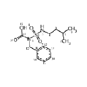 CC(C)CCNS(=O)(=O)N(Cc1ccccc1)C(=O)O